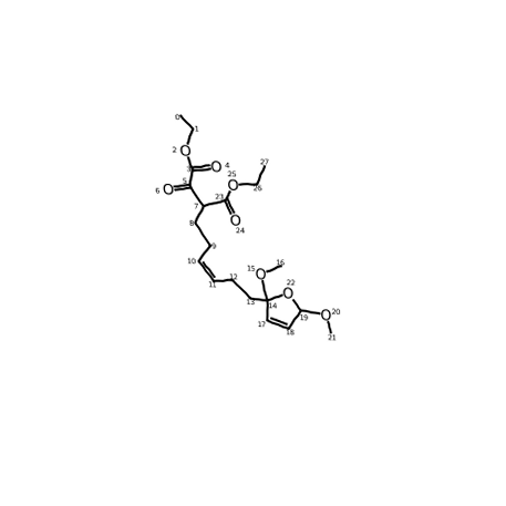 CCOC(=O)C(=O)C(CC/C=C\CCC1(OC)C=CC(OC)O1)C(=O)OCC